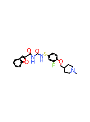 CN1CCC(COc2ccc(SNC(=O)NC(=O)c3cc4ccccc4o3)cc2F)CC1